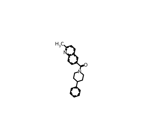 Cc1ccc2cc(C(=O)N3CCC(c4ccccc4)CC3)ccc2n1